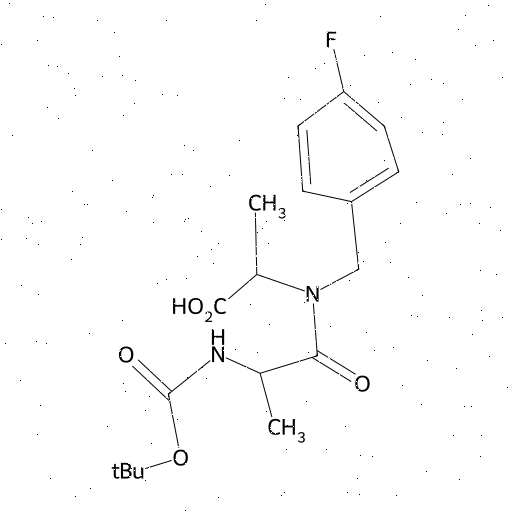 CC(NC(=O)OC(C)(C)C)C(=O)N(Cc1ccc(F)cc1)C(C)C(=O)O